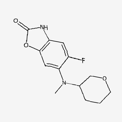 CN(c1cc2oc(=O)[nH]c2cc1F)C1CCCOC1